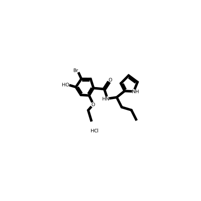 CCCC(NC(=O)c1cc(Br)c(O)cc1OCC)c1ccc[nH]1.Cl